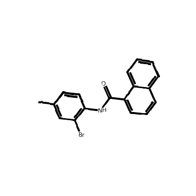 Cc1ccc(NC(=O)c2cccc3ccccc23)c(Br)c1